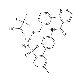 Cc1ccc(S(N)(=O)=O)c(-c2ccc(NC(=O)c3cccnc3-c3cccc(C=NN)c3)cc2)c1.O=C(O)C(F)(F)F